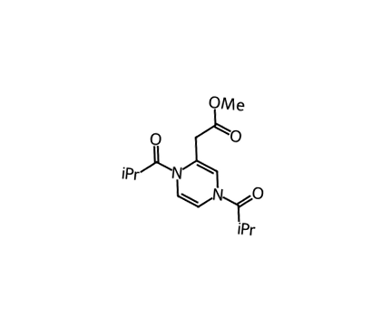 COC(=O)CC1=CN(C(=O)C(C)C)C=CN1C(=O)C(C)C